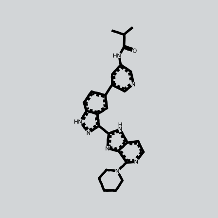 CC(C)C(=O)Nc1cncc(-c2ccc3[nH]nc(-c4nc5c(N6CCCCC6)nccc5[nH]4)c3c2)c1